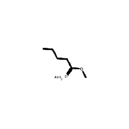 CCCCC(=O)OC.[AlH3]